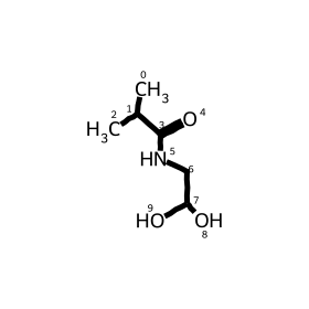 CC(C)C(=O)NCC(O)O